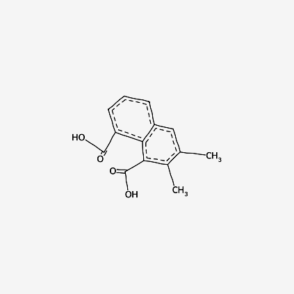 Cc1cc2cccc(C(=O)O)c2c(C(=O)O)c1C